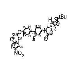 CC(C)(C)[SiH2]OC(C)(C)[C@H]1CN(c2ccc(-c3ccc(O[C@@H]4COc5nc([N+](=O)[O-])cn5C4)nc3)c(F)c2)C(=O)O1